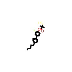 CCCCCc1ccc(-c2ccc(OC(=O)C(C)(C)CS)c(F)c2)cc1